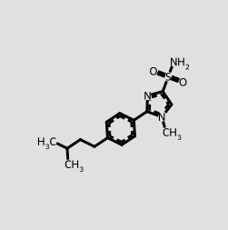 CC(C)CCc1ccc(-c2nc(S(N)(=O)=O)cn2C)cc1